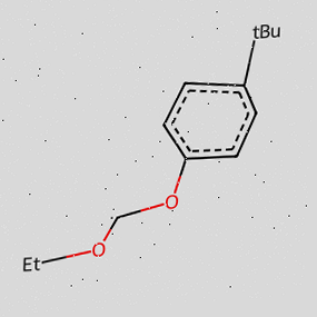 CCO[CH]Oc1ccc(C(C)(C)C)cc1